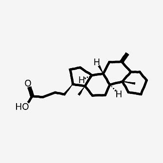 C=C1C[C@H]2[C@@H]3CC[C@H](CCCC(=O)O)[C@@]3(C)CC[C@@H]2[C@@]2(C)CCCCC12